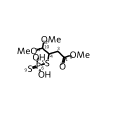 COC(=O)CC(SP(O)(O)=S)C(OC)OC